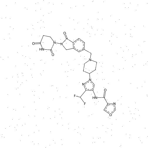 O=C1CCN(N2Cc3cc(CN4CCC(n5cc(NC(=O)c6cocn6)c(C(F)F)n5)CC4)ccc3C2=O)C(=O)N1